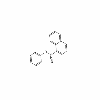 O=[PH](Oc1ccccc1)c1cccc2ccccc12